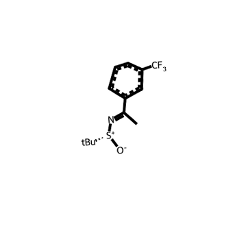 C/C(=N\[S@+]([O-])C(C)(C)C)c1cccc(C(F)(F)F)c1